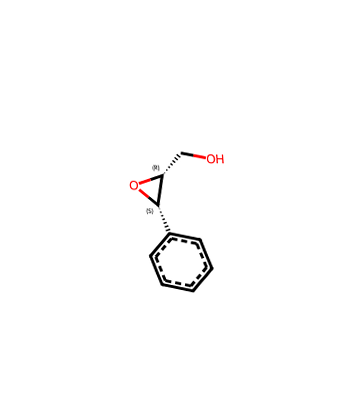 OC[C@H]1O[C@H]1c1ccccc1